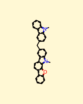 Cn1c2ccccc2c2cc(Cc3ccc4c(c3)c3ccc5c6ccccc6oc5c3n4C)ccc21